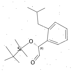 CC(C)Cc1ccccc1[C@H](C=O)O[Si](C)(C)C(C)(C)C